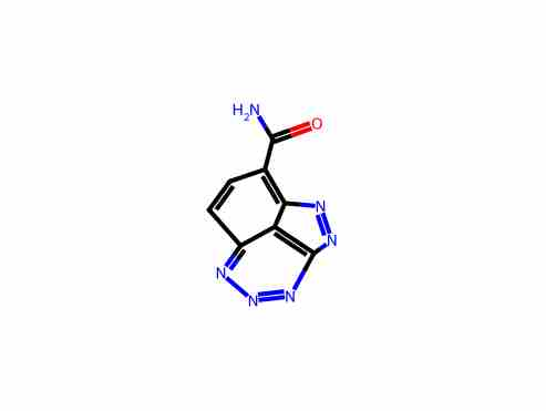 NC(=O)c1ccc2nnnc3c2c1N=N3